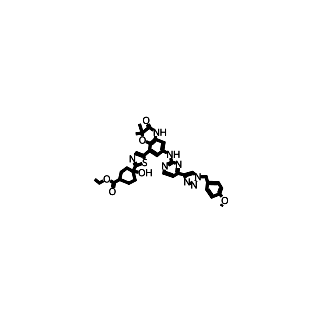 CCOC(=O)C1CCC(O)(c2ncc(-c3cc(Nc4nccc(-c5cn(Cc6ccc(OC)cc6)nn5)n4)cc4c3OC(C)(C)C(=O)N4)s2)CC1